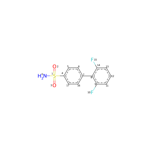 NS(=O)(=O)c1ccc(-c2c(F)cccc2F)cc1